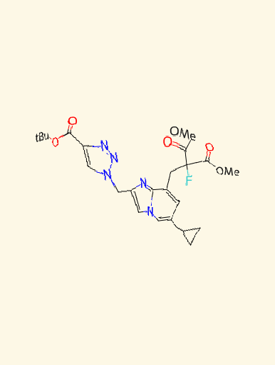 COC(=O)C(F)(Cc1cc(C2CC2)cn2cc(Cn3cc(C(=O)OC(C)(C)C)nn3)nc12)C(=O)OC